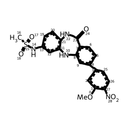 COc1cc(-c2ccc3c(c2)Nc2cc(NS(C)(=O)=O)ccc2NC3=O)ccc1[N+](=O)[O-]